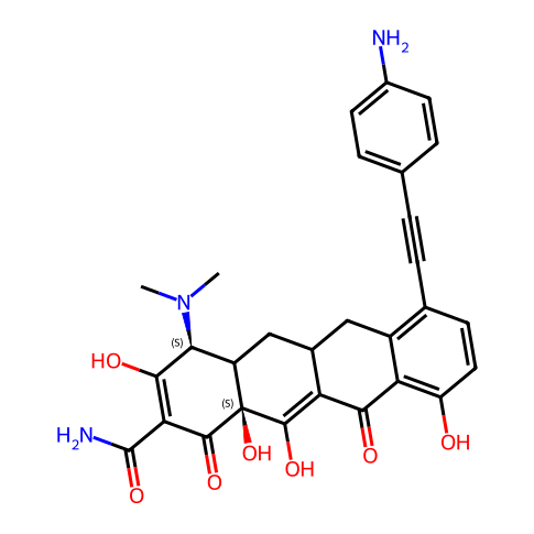 CN(C)[C@@H]1C(O)=C(C(N)=O)C(=O)[C@@]2(O)C(O)=C3C(=O)c4c(O)ccc(C#Cc5ccc(N)cc5)c4CC3CC12